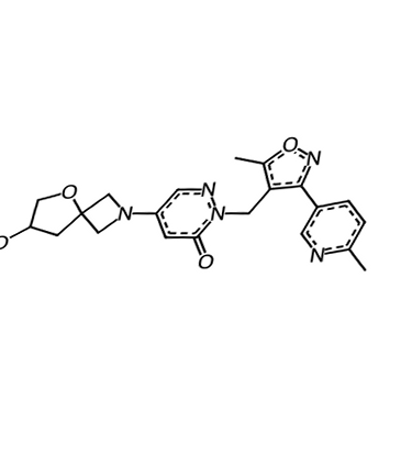 Cc1ccc(-c2noc(C)c2Cn2ncc(N3CC4(CC(O)CO4)C3)cc2=O)cn1